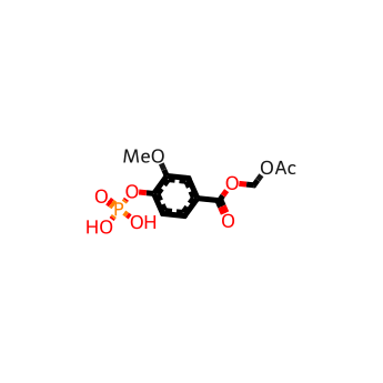 COc1cc(C(=O)OCOC(C)=O)ccc1OP(=O)(O)O